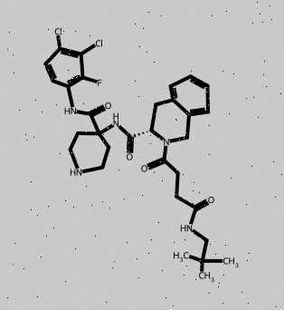 CC(C)(C)CNC(=O)CCC(=O)N1Cc2ccccc2C[C@H]1C(=O)NC1(C(=O)Nc2ccc(Cl)c(Cl)c2F)CCNCC1